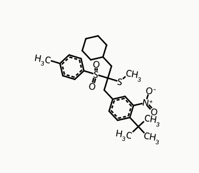 CSC(Cc1ccc(C(C)(C)C)c([N+](=O)[O-])c1)(CC1CCCCC1)S(=O)(=O)c1ccc(C)cc1